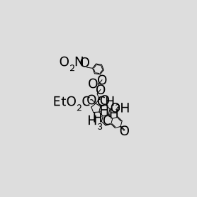 CCOC(=O)O[C@]1(C(=O)COC(=O)Oc2cccc(CO[N+](=O)[O-])c2)CC[C@H]2[C@@H]3CCC4=CC(=O)C=C[C@]4(C)[C@H]3[C@@H](O)C[C@@]21C